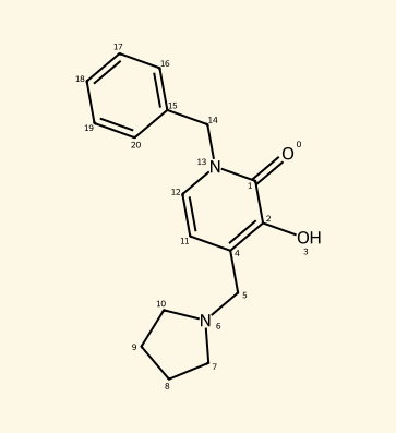 O=c1c(O)c(CN2CCCC2)ccn1Cc1ccccc1